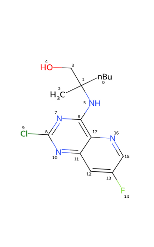 CCCCC(C)(CO)Nc1nc(Cl)nc2cc(F)cnc12